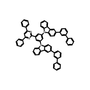 c1ccc(-c2cccc(-c3ccc4c(c3)c3ccccc3n4-c3cc(-c4nc(-c5ccccc5)cc(-c5ccccc5)n4)cc(-n4c5ccccc5c5cc(-c6cccc(-c7ccccc7)c6)ccc54)c3)c2)cc1